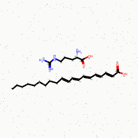 CCCCCCCCCC=CC=CC=CC=CC=CC(=O)O.N=C(N)NCCC[C@H](N)C(=O)O